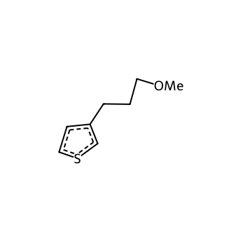 COCCCc1ccsc1